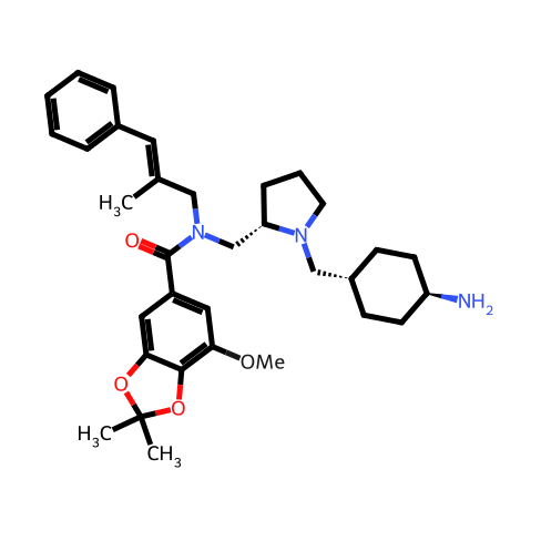 COc1cc(C(=O)N(C/C(C)=C/c2ccccc2)C[C@@H]2CCCN2C[C@H]2CC[C@H](N)CC2)cc2c1OC(C)(C)O2